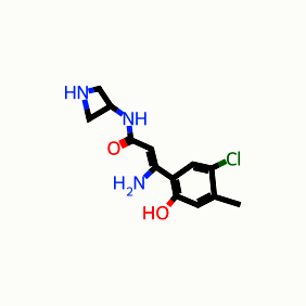 Cc1cc(O)c(C(N)=CC(=O)NC2CNC2)cc1Cl